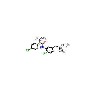 CCOC(=O)[C@H](C)Cc1ccc(Cl)c(NC(=O)[C@H](C2C=CC(Cl)=CC2)[C@@H](C)C(F)(F)F)c1